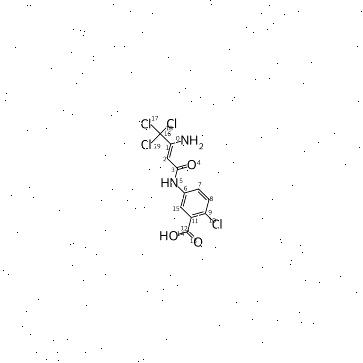 NC(=CC(=O)Nc1ccc(Cl)c(C(=O)O)c1)C(Cl)(Cl)Cl